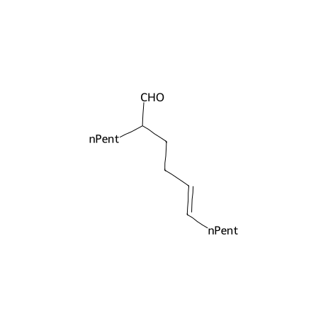 CCCCCC=CCCC(C=O)CCCCC